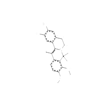 COc1ccc2c(c1OC)C(C)(C)N1CCc3cc(O)c(O)cc3C1=C2C